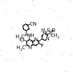 Cc1nc2cc(F)c(-c3cnc(P(C)(C)=O)nc3)nc2c(NC(C)c2cccc(C#N)c2)c1Cl